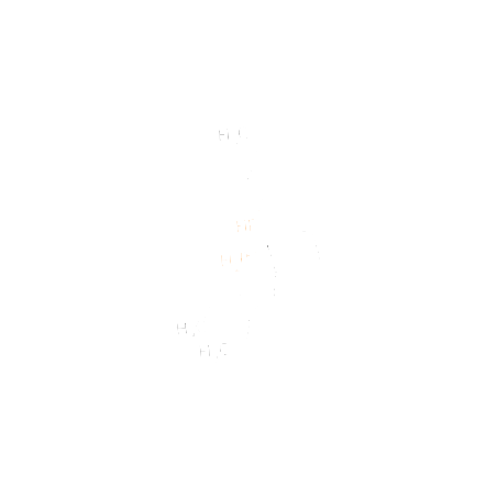 CCCCPC1(P)CCCCC1(CCCC)CCCC